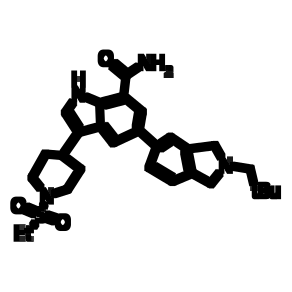 CCS(=O)(=O)N1CCC(c2c[nH]c3c(C(N)=O)cc(-c4ccc5c(c4)CN(CC(C)(C)C)C5)cc23)CC1